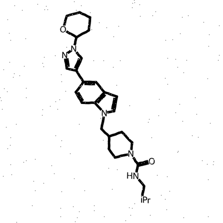 CC(C)CNC(=O)N1CCC(Cn2ccc3cc(-c4cnn(C5CCCCO5)c4)ccc32)CC1